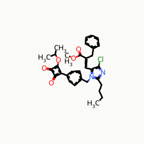 CCCCc1nc(Cl)c(/C=C(\Cc2ccccc2)C(=O)OC)n1Cc1ccc(-c2c(OC(C)C)c(=O)c2=O)cc1